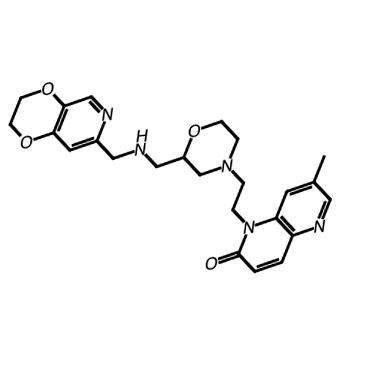 Cc1cnc2ccc(=O)n(CCN3CCOC(CNCc4cc5c(cn4)OCCO5)C3)c2c1